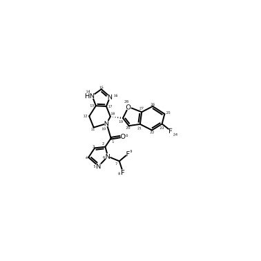 O=C(c1ccnn1C(F)F)N1CCc2[nH]cnc2[C@@H]1c1cc2cc(F)ccc2o1